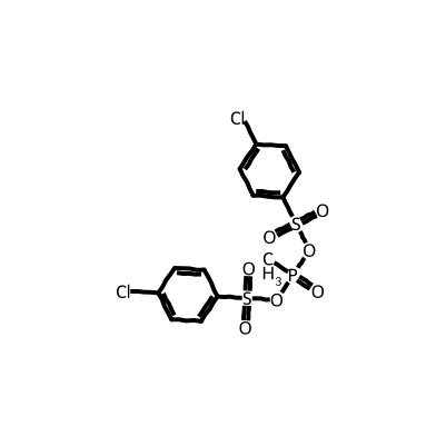 CP(=O)(OS(=O)(=O)c1ccc(Cl)cc1)OS(=O)(=O)c1ccc(Cl)cc1